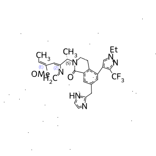 C=N/C(=C\C(=C/C)OC)[C@H](C)N1CCc2c(cc(Cc3ncc[nH]3)cc2-c2cn(CC)nc2C(F)(F)F)C1=O